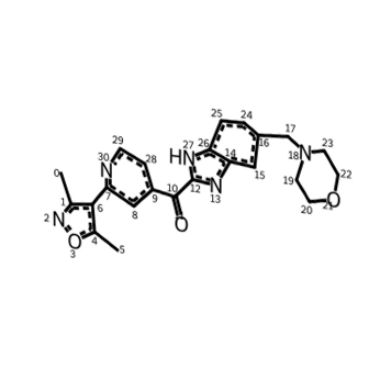 Cc1noc(C)c1-c1cc(C(=O)c2nc3cc(CN4CCOCC4)ccc3[nH]2)ccn1